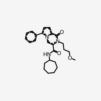 COCCCn1c(C(=O)NC2CCCCCC2)cn2c(-c3ccccc3)ccc2c1=O